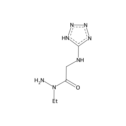 CCN(N)C(=O)CNc1nnn[nH]1